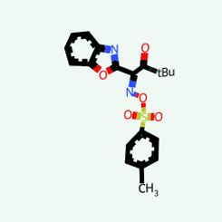 Cc1ccc(S(=O)(=O)O/N=C(\C(=O)C(C)(C)C)c2nc3ccccc3o2)cc1